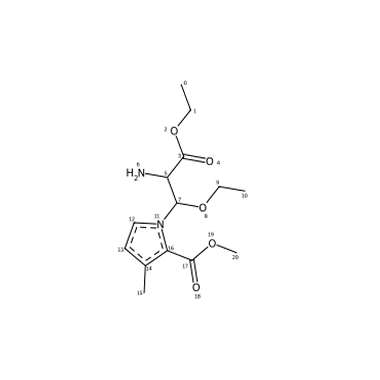 CCOC(=O)C(N)C(OCC)n1ccc(C)c1C(=O)OC